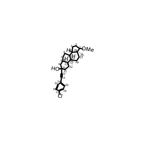 COC1CC[C@H]2[C@@H]3CCC4CC(O)(C#Cc5ccc(Cl)cc5)CC[C@]4(C)[C@@H]3CC[C@]12C